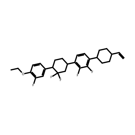 C=CC1CCC(c2ccc(C3CCC(c4ccc(OCC)c(F)c4)C(F)(F)C3)c(F)c2F)CC1